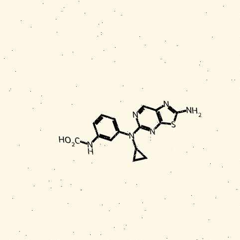 Nc1nc2cnc(N(c3cccc(NC(=O)O)c3)C3CC3)nc2s1